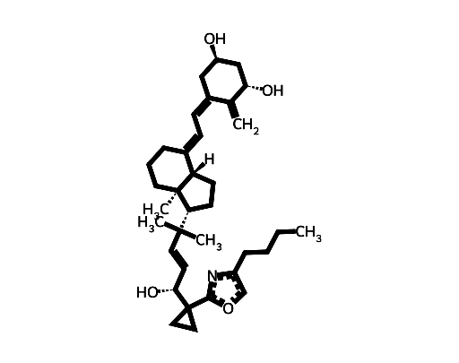 C=C1/C(=C\C=C2/CCC[C@]3(C)[C@@H](C(C)(C)/C=C/[C@@H](O)C4(c5nc(CCCC)co5)CC4)CC[C@@H]23)C[C@@H](O)C[C@@H]1O